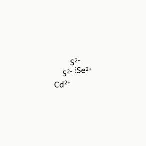 [Cd+2].[S-2].[S-2].[Se+2]